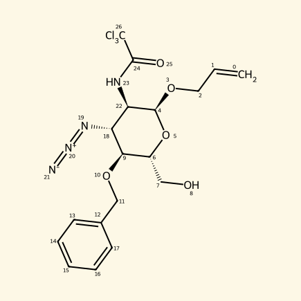 C=CCO[C@H]1O[C@H](CO)[C@@H](OCc2ccccc2)[C@H](N=[N+]=[N-])[C@H]1NC(=O)C(Cl)(Cl)Cl